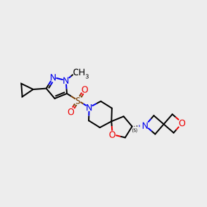 Cn1nc(C2CC2)cc1S(=O)(=O)N1CCC2(CC1)C[C@H](N1CC3(COC3)C1)CO2